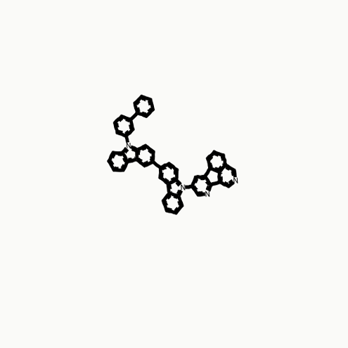 c1ccc(-c2cccc(-n3c4ccccc4c4cc(-c5ccc6c(c5)c5ccccc5n6-c5cnc6c(c5)-c5cccc7cncc-6c57)ccc43)c2)cc1